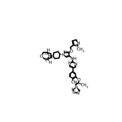 C[C@@H](Cn1cnnn1)Oc1cc(-c2cnc(Nc3cn([C@H]4CC[C@H](N5[C@@H]6CC[C@H]5COC6)CC4)nc3OCc3ccnn3C)nc2)ccc1C#N